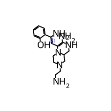 NCCN1CCN2C(/C=C(\N)c3ccccc3O)=C(N)NCC2C1